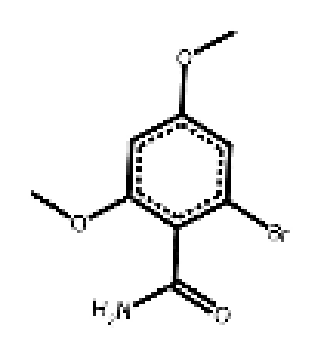 COc1cc(Br)c(C(N)=O)c(OC)c1